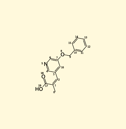 CC(=Cc1cncc(OCc2ccccc2)c1)C(=O)O